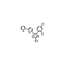 CCc1nc(-c2ccc(Cl)cc2Cl)c(-c2ccc(-c3cccs3)s2)o1